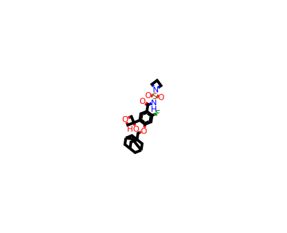 O=C(NS(=O)(=O)N1CCC1)c1cc(C2(O)COC2)c(OCC23CC4CC(CC(C4)C2)C3)cc1F